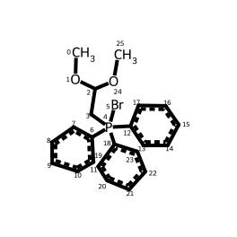 COC(CP(Br)(c1ccccc1)(c1ccccc1)c1ccccc1)OC